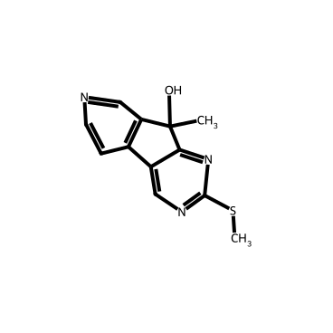 CSc1ncc2c(n1)C(C)(O)c1cnccc1-2